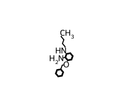 CCCCCNc1cccc(OCc2ccccc2)c1N